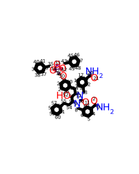 NC(=O)c1cccc(CN2C(=O)N(Cc3cccc(C(N)=O)c3)C(Cc3cccc(OCP(=O)(OCc4ccccc4)OCc4ccccc4)c3)C(O)C2CCc2ccccc2)c1